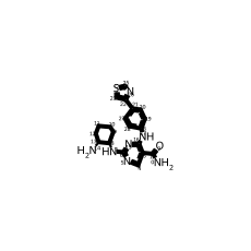 NC(=O)c1cnc(N[C@@H]2CCCC[C@@H]2N)nc1Nc1ccc(-c2cscn2)cc1